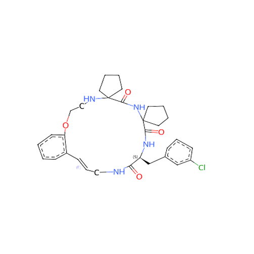 O=C1NC/C=C/c2ccccc2OCCNC2(CCCC2)C(=O)NC2(CCCC2)C(=O)N[C@H]1Cc1cccc(Cl)c1